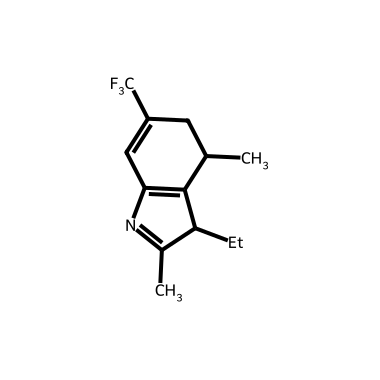 CCC1C(C)=NC2=C1C(C)CC(C(F)(F)F)=C2